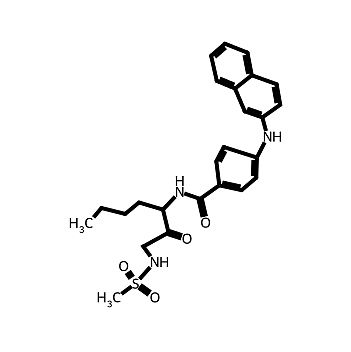 CCCCC(NC(=O)c1ccc(Nc2ccc3ccccc3c2)cc1)C(=O)CNS(C)(=O)=O